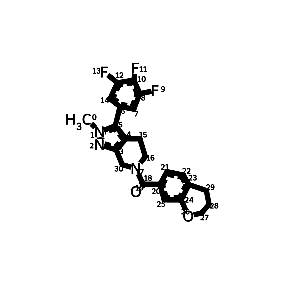 Cn1nc2c(c1-c1cc(F)c(F)c(F)c1)CCN(C(=O)c1ccc3c(c1)OCCC3)C2